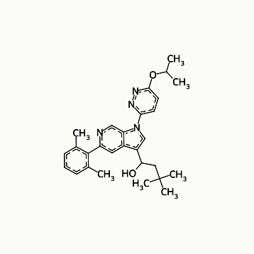 Cc1cccc(C)c1-c1cc2c(C(O)CC(C)(C)C)cn(-c3ccc(OC(C)C)nn3)c2cn1